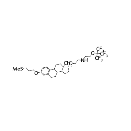 CSCCCOc1ccc2c(c1)CCC1C2CCC2(C)C(OCCNCCOC(C(F)(F)F)(C(F)(F)F)C(F)(F)F)CCC12